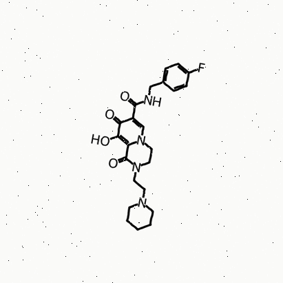 O=C(NCc1ccc(F)cc1)c1cn2c(c(O)c1=O)C(=O)N(CCN1CCCCC1)CC2